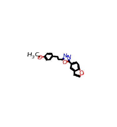 COc1ccc(CCc2nnc(-c3ccc4occc4c3)o2)cc1